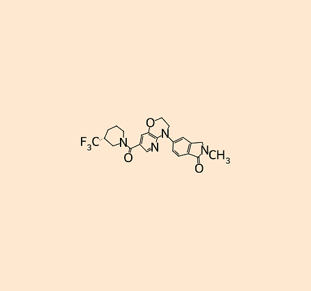 CN1Cc2cc(N3CCOc4cc(C(=O)N5CCC[C@@H](C(F)(F)F)C5)cnc43)ccc2C1=O